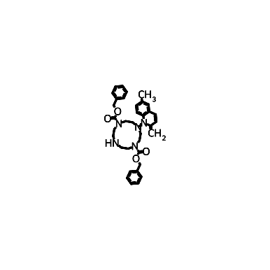 C=C1C=Cc2cc(C)ccc2N1N1CCN(C(=O)OCc2ccccc2)CCNCCN(C(=O)OCc2ccccc2)CC1